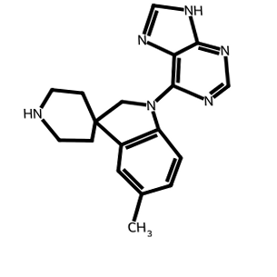 Cc1ccc2c(c1)C1(CCNCC1)CN2c1ncnc2[nH]cnc12